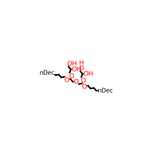 CCCCCCCCCCCCCCOC(COCC(OCCCCCCCCCCCCCC)OCC(O)CO)OCC(O)CO